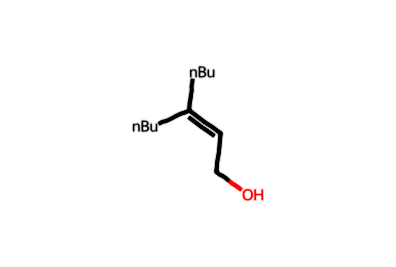 CCCCC(=CCO)CCCC